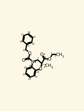 CCOC(=O)[C@]1(C)CN(C(=O)OCc2ccccc2)c2ccccc2O1